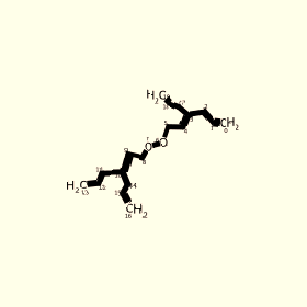 C=CCC(=CCOOCC=C(CC=C)CC=C)CC=C